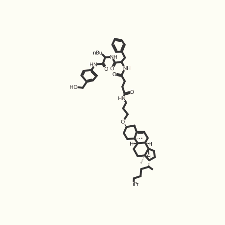 CCCCC(NC(=O)C(Cc1ccccc1)NC(=O)CCC(=O)NCCCO[C@H]1CC[C@@]2(C)C(=CC[C@H]3[C@@H]4CC[C@H](C(C)CCCC(C)C)[C@@]4(C)CC[C@@H]32)C1)C(=O)Nc1ccc(CO)cc1